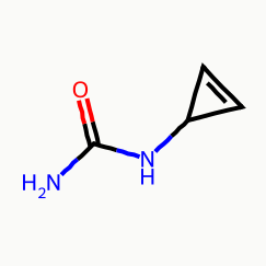 NC(=O)NC1C=C1